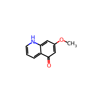 COc1cc2[nH]cccc-2c(=O)c1